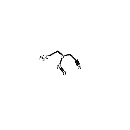 CCN(CC#N)N=O